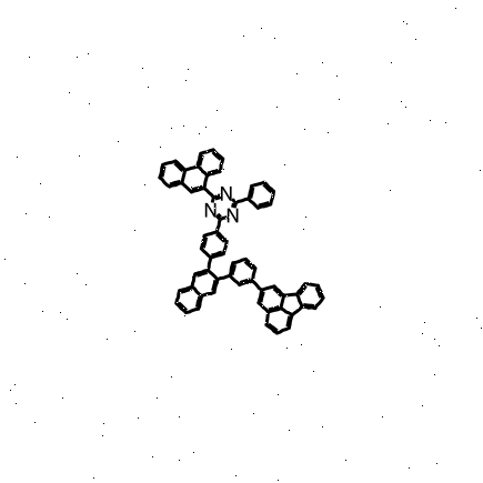 c1ccc(-c2nc(-c3ccc(-c4cc5ccccc5cc4-c4cccc(-c5cc6c7c(cccc7c5)-c5ccccc5-6)c4)cc3)nc(-c3cc4ccccc4c4ccccc34)n2)cc1